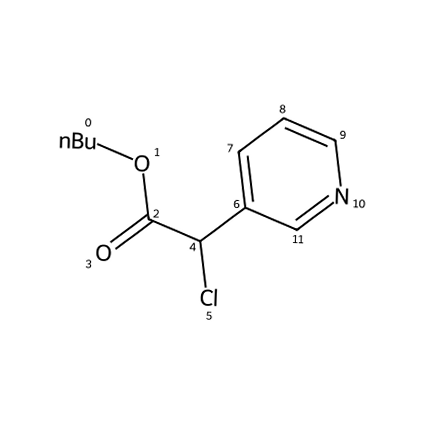 CCCCOC(=O)C(Cl)c1cccnc1